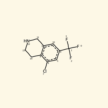 FC(F)(F)c1cc(Cl)c2c(c1)CNCC2